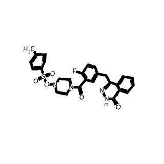 Cc1ccc(S(=O)(=O)ON2CCN(C(=O)c3cc(Cc4n[nH]c(=O)c5ccccc45)ccc3F)CC2)cc1